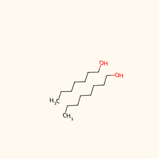 CCCCCCCCO.CCCCCCCO